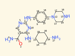 NC(=O)c1cnc(Nc2ccc(N3CCNCC3)cc2)nc1N[C@H]1CC[C@@H](N)CC1